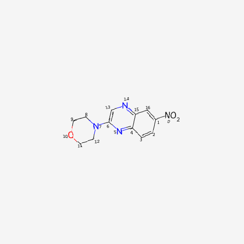 O=[N+]([O-])c1ccc2nc(N3CCOCC3)cnc2c1